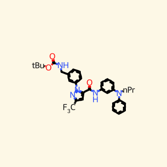 CCCN(c1ccccc1)c1cccc(NC(=O)c2cc(C(F)(F)F)nn2-c2cccc(CNC(=O)OC(C)(C)C)c2)c1